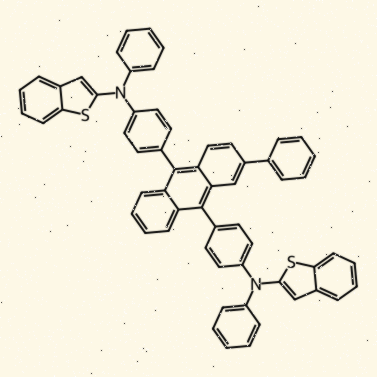 c1ccc(-c2ccc3c(-c4ccc(N(c5ccccc5)c5cc6ccccc6s5)cc4)c4ccccc4c(-c4ccc(N(c5ccccc5)c5cc6ccccc6s5)cc4)c3c2)cc1